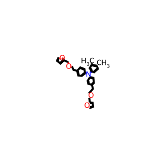 Cc1ccc(N(c2ccc(CCOCc3ccco3)cc2)c2ccc(CCOCc3ccco3)cc2)cc1C